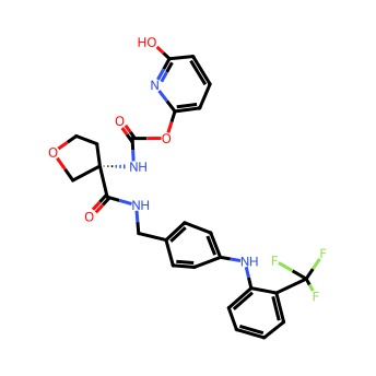 O=C(N[C@@]1(C(=O)NCc2ccc(Nc3ccccc3C(F)(F)F)cc2)CCOC1)Oc1cccc(O)n1